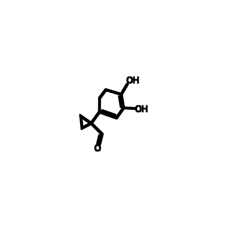 O=CC1(C2=CC(O)=C(O)CC2)CC1